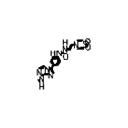 CNc1nccn2c(-c3ccc(NC(=O)NCCN4CCS(=O)(=O)CC4)cc3)cnc12